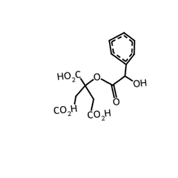 O=C(O)CC(CC(=O)O)(OC(=O)C(O)c1ccccc1)C(=O)O